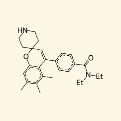 CCN(CC)C(=O)c1ccc(C2=CC3(CCNCC3)Oc3cc(C)c(C)c(C)c32)cc1